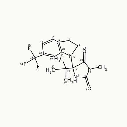 CN1C(=O)NC(N2CCc3ccc(C(F)(F)F)cc32)(C(C)(C)C)C1=O